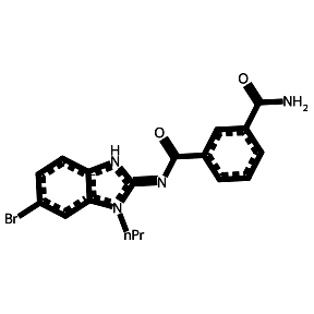 CCCn1/c(=N/C(=O)c2cccc(C(N)=O)c2)[nH]c2ccc(Br)cc21